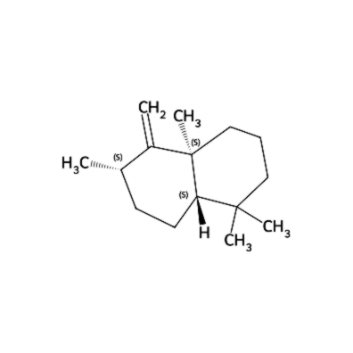 C=C1[C@@H](C)CC[C@H]2C(C)(C)CCC[C@]12C